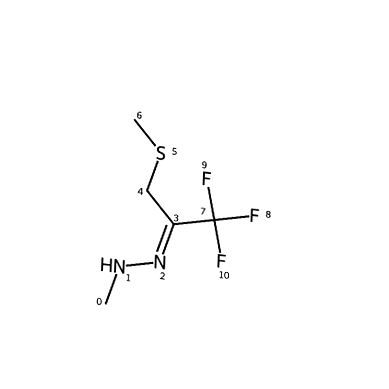 CNN=C(CSC)C(F)(F)F